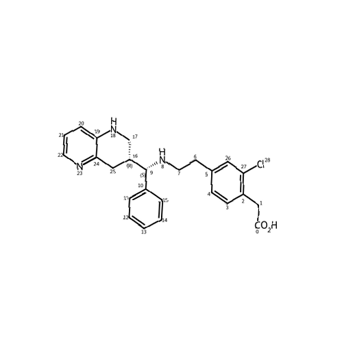 O=C(O)Cc1ccc(CCN[C@H](c2ccccc2)[C@H]2CNc3cccnc3C2)cc1Cl